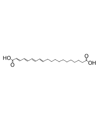 O=C(O)/C=C/C=C/C=C/C=C/CCCCCCCCCCC(=O)O